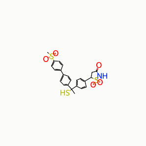 CC(S)(c1ccc(-c2ccc(S(C)(=O)=O)cc2)cc1)c1ccc(C2CC(=O)NS2(=O)=O)cc1